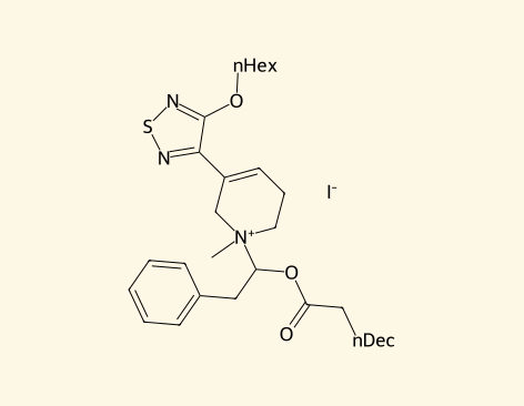 CCCCCCCCCCCC(=O)OC(Cc1ccccc1)[N+]1(C)CCC=C(c2nsnc2OCCCCCC)C1.[I-]